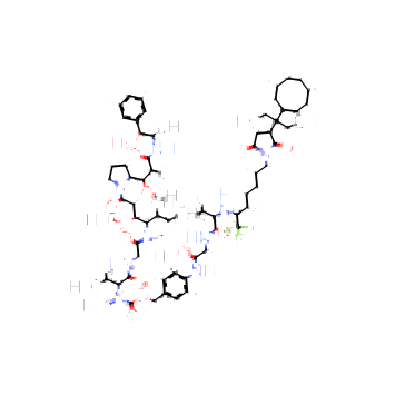 CCC(C)C(C(CC(=O)N1CCCC1C(OC)C(C)C(=O)NC(C)C(O)c1ccccc1)OC)N(C)C(=O)CNC(=O)C(C(C)C)N(C)C(=O)OCc1ccc(NC(=O)CNC(=O)C(NC(CCCCCN2C(=O)CC(C(CC)(CC)C3CCCCCCC3)C2=O)C(F)(F)F)C(C)C)cc1